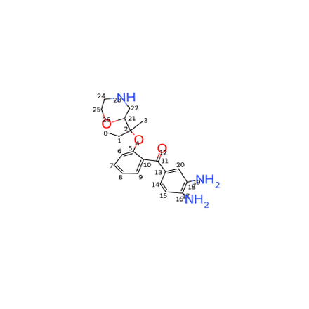 CCC(C)(Oc1ccccc1C(=O)c1ccc(N)c(N)c1)C1CNCCO1